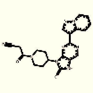 N#CCC(=O)N1CCC(n2c(=O)[nH]c3cnc(-c4cnn5ccccc45)nc32)CC1